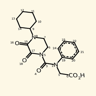 O=C(O)CN(C(=O)N1CCN(C2CCCCC2)C(=O)C1=O)c1ccccc1